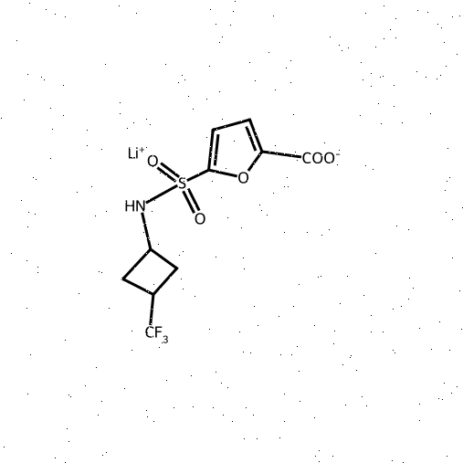 O=C([O-])c1ccc(S(=O)(=O)NC2CC(C(F)(F)F)C2)o1.[Li+]